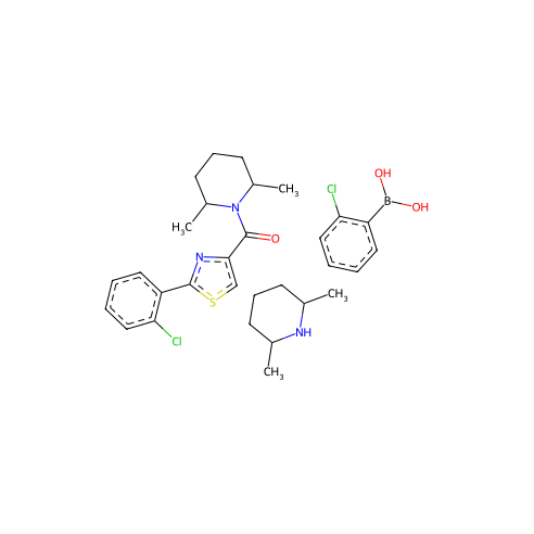 CC1CCCC(C)N1.CC1CCCC(C)N1C(=O)c1csc(-c2ccccc2Cl)n1.OB(O)c1ccccc1Cl